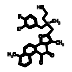 Cc1c(C[N+](C)(CCO)Cc2ccc(F)c(Cl)c2)oc2c1C(=O)C(=O)c1c-2ccc2c(C)cccc12